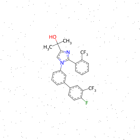 CC(C)(O)c1cn(-c2cccc(-c3ccc(F)c(C(F)(F)F)c3)c2)c(-c2ccccc2C(F)(F)F)n1